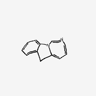 C1=CN=CN2C(=C1)Cc1ccccc12